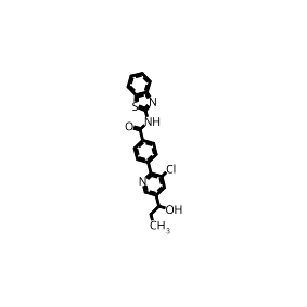 CCC(O)c1cnc(-c2ccc(C(=O)Nc3nc4ccccc4s3)cc2)c(Cl)c1